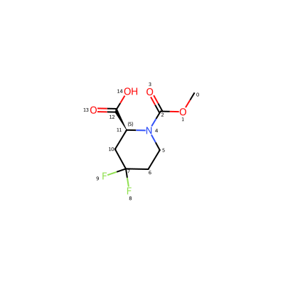 COC(=O)N1CCC(F)(F)C[C@H]1C(=O)O